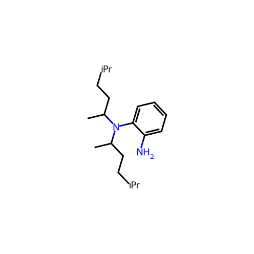 CC(C)CCC(C)N(c1ccccc1N)C(C)CCC(C)C